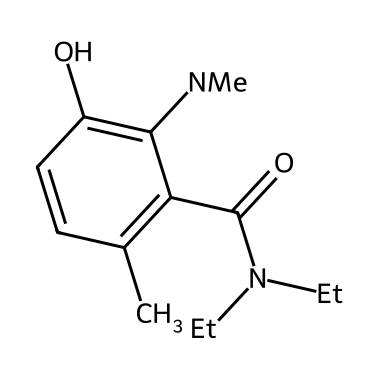 CCN(CC)C(=O)c1c(C)ccc(O)c1NC